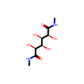 CNC(=O)[C@@H](O)[C@H](O)[C@@H](O)[C@H](O)C(=O)NC